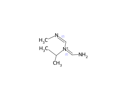 C/N=C\[N+](=C/N)C(C)C